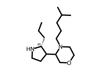 CCC[C@H]1NCCC1C1COCCN1CCCC(C)C